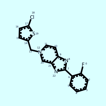 Fc1ccccc1-c1nc2ccn(Cc3ccc(Cl)s3)cc-2n1